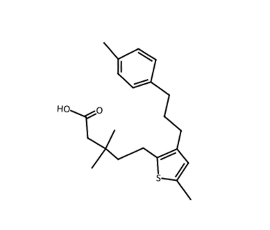 Cc1ccc(CCCc2cc(C)sc2CCC(C)(C)CC(=O)O)cc1